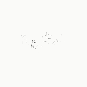 O=C(c1cnn2ccc(C3=CCCCc4nc(NCCC(F)(F)F)ncc43)cc12)N1CCCCC1